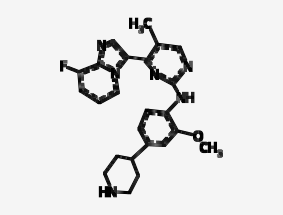 COc1cc(C2CCNCC2)ccc1Nc1ncc(C)c(-c2cnc3c(F)cccn23)n1